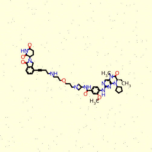 CC[C@@H]1C(=O)N(C)c2cnc(Nc3ccc(C(=O)NC4CN(CCCOCCCNCCC#Cc5cccc6c5CN(C5CCC(=O)NC5=O)C6=O)C4)cc3OC)nc2N1C1CCCC1